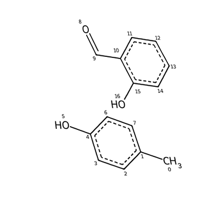 Cc1ccc(O)cc1.O=Cc1ccccc1O